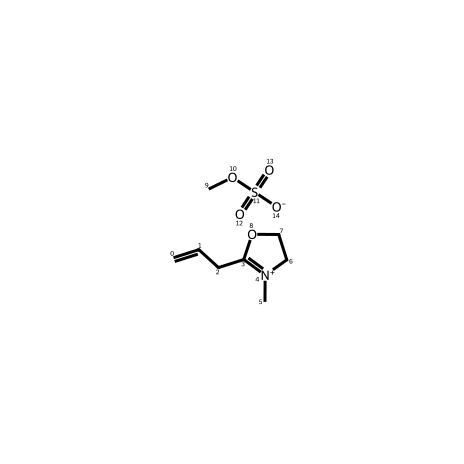 C=CCC1=[N+](C)CCO1.COS(=O)(=O)[O-]